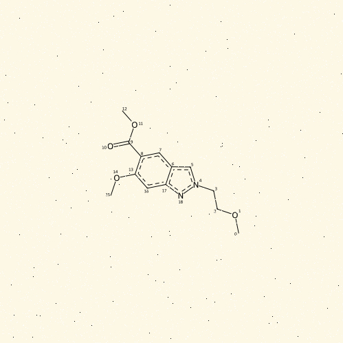 COCCn1cc2cc(C(=O)OC)c(OC)cc2n1